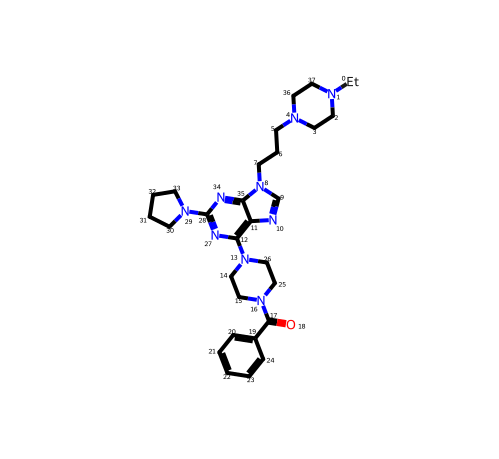 CCN1CCN(CCCn2cnc3c(N4CCN(C(=O)c5ccccc5)CC4)nc(N4CCCC4)nc32)CC1